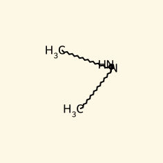 CCCCCCCCCCCCCCCCCCc1nc[nH]c1CCCCCCCCCCCCCCCCCC